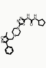 Cc1onc(-c2ccccc2)c1CN1CCN(c2nnc(NC(=O)NC3CCCC3)s2)CC1